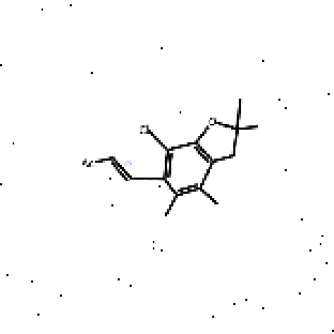 CC(=O)/C=C/c1c(C)c(C)c2c(c1Cl)OC(C)(C)C2